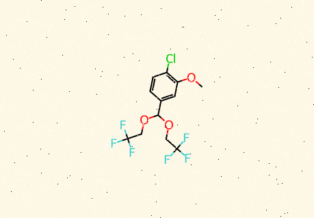 COc1cc(C(OCC(F)(F)F)OCC(F)(F)F)ccc1Cl